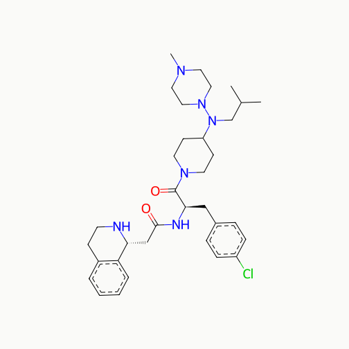 CC(C)CN(C1CCN(C(=O)[C@@H](Cc2ccc(Cl)cc2)NC(=O)C[C@H]2NCCc3ccccc32)CC1)N1CCN(C)CC1